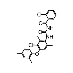 Cc1ccc(Oc2cc(C)c(NC(=O)NC(=O)c3ccccc3Cl)c(C)c2Cl)c(C)c1